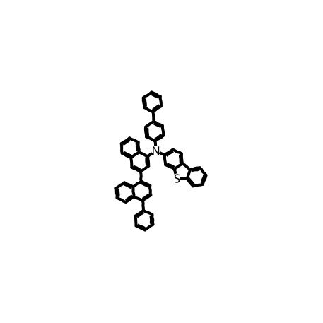 c1ccc(-c2ccc(N(c3ccc4c(c3)sc3ccccc34)c3cc(-c4ccc(-c5ccccc5)c5ccccc45)cc4ccccc34)cc2)cc1